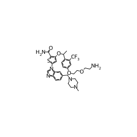 CC(Oc1cc(-n2cnc3ccc(CN4CCN(C)CC4)cc32)sc1C(N)=O)c1ccc(OCCOCCN)cc1C(F)(F)F